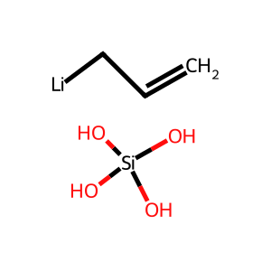 O[Si](O)(O)O.[Li][CH2]C=C